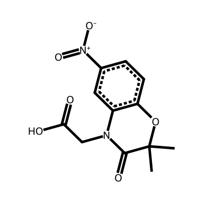 CC1(C)Oc2ccc([N+](=O)[O-])cc2N(CC(=O)O)C1=O